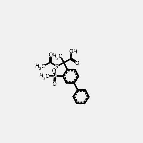 CC(=O)SC(C)(C(=O)O)c1ccc(-c2ccccc2)cc1S(C)(=O)=O